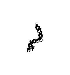 CN(c1ccc(C#N)c(C(F)(F)F)c1)[C@H]1CC[C@H](OCC(=O)N2CCN(CC3Cc4cc(F)ccc4O3)CC2)CC1